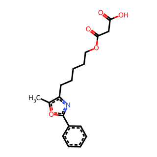 Cc1oc(-c2ccccc2)nc1CCCCCOC(=O)CC(=O)O